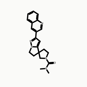 CN(C)C(=O)N1CCC2(CCn3nc(-c4cnc5ccccc5c4)cc32)C1